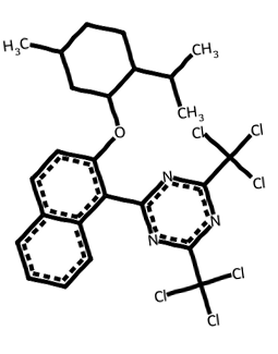 CC1CCC(C(C)C)C(Oc2ccc3ccccc3c2-c2nc(C(Cl)(Cl)Cl)nc(C(Cl)(Cl)Cl)n2)C1